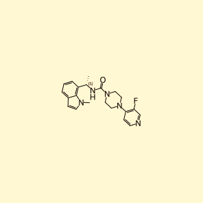 C[C@H](NC(=O)N1CCN(c2ccncc2F)CC1)c1cccc2ccn(C)c12